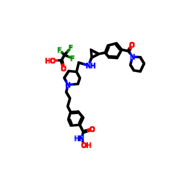 O=C(NO)c1ccc(CCCN2CCC(CNC3CC3c3ccc(C(=O)N4CCCCC4)cc3)CC2)cc1.O=C(O)C(F)(F)F